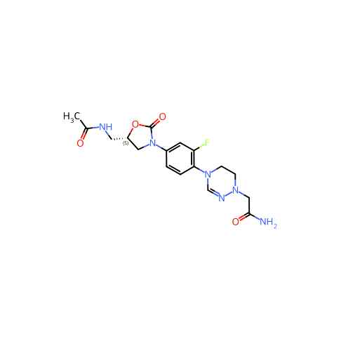 CC(=O)NC[C@H]1CN(c2ccc(N3C=NN(CC(N)=O)CC3)c(F)c2)C(=O)O1